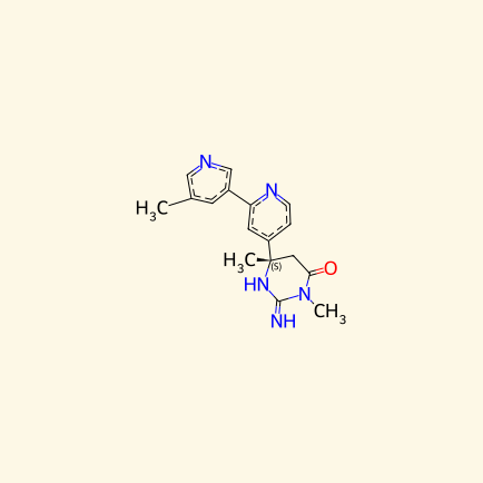 Cc1cncc(-c2cc([C@]3(C)CC(=O)N(C)C(=N)N3)ccn2)c1